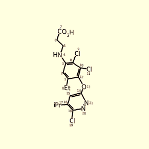 CCc1cc(NCCC(=O)O)c(Cl)c(Cl)c1Oc1cc(C(C)C)c(Cl)nn1